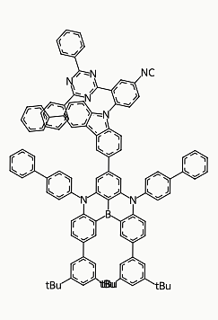 [C-]#[N+]c1ccc(-n2c3ccc(-c4ccccc4)cc3c3cc(-c4cc5c6c(c4)N(c4ccc(-c7ccccc7)cc4)c4ccc(-c7cc(C(C)(C)C)cc(C(C)(C)C)c7)cc4B6c4cc(-c6cc(C(C)(C)C)cc(C(C)(C)C)c6)ccc4N5c4ccc(-c5ccccc5)cc4)ccc32)c(-c2nc(-c3ccccc3)nc(-c3ccccc3)n2)c1